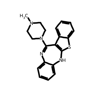 CN1CCN(C2=Nc3ccccc3Nc3sc4ccccc4c32)CC1